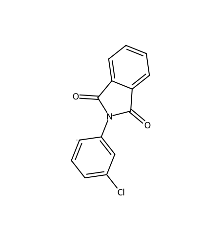 O=C1c2ccccc2C(=O)N1c1[c]ccc(Cl)c1